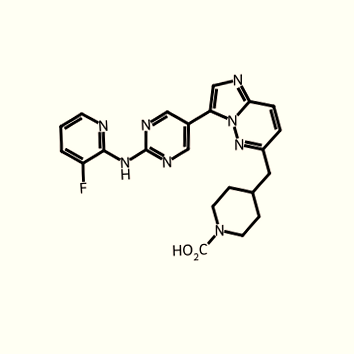 O=C(O)N1CCC(Cc2ccc3ncc(-c4cnc(Nc5ncccc5F)nc4)n3n2)CC1